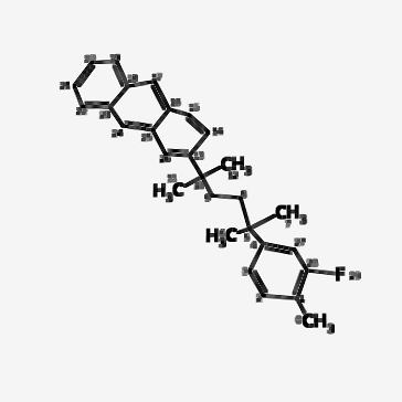 Cc1ccc(C(C)(C)CCC(C)(C)c2ccc3cc4ccccc4cc3c2)cc1F